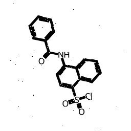 O=C(Nc1ccc(S(=O)(=O)Cl)c2ccccc12)c1ccccc1